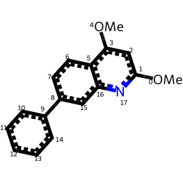 COc1cc(OC)c2ccc(-c3ccccc3)cc2n1